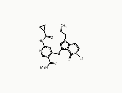 C=CCn1cc(Nc2cc(NC(=O)C3CC3)ncc2C(=O)NC)c2c(=O)n(CC)ccc21